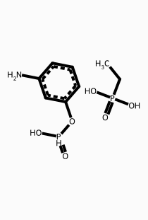 CCP(=O)(O)O.Nc1cccc(O[PH](=O)O)c1